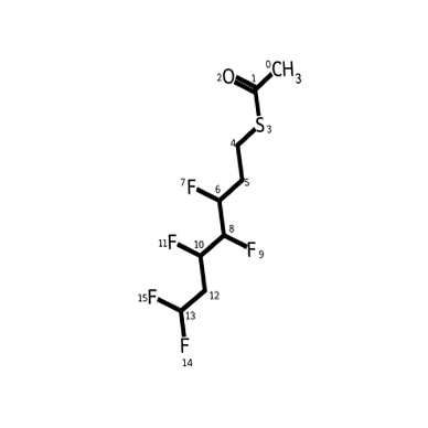 CC(=O)SCCC(F)C(F)C(F)CC(F)F